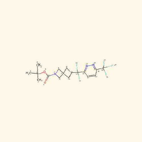 CC(C)(C)OC(=O)N1CC2(CC(C(F)(F)c3ccc(C(F)(F)F)nn3)C2)C1